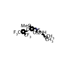 COc1cc(/C=C2/SC(NCCCN(C)C)=NC2=O)ccc1OCc1ccc(C(F)(F)F)cc1C(F)(F)F